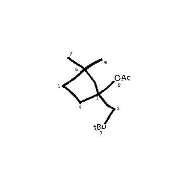 CC(=O)OC1(CC(C)(C)C)CCC1(C)C